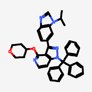 CC(C)n1cnc2ccc(-c3nn(C(c4ccccc4)(c4ccccc4)c4ccccc4)c4ccnc(OC5CCOCC5)c34)cc21